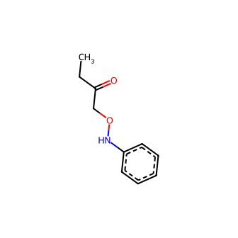 CCC(=O)CONc1ccccc1